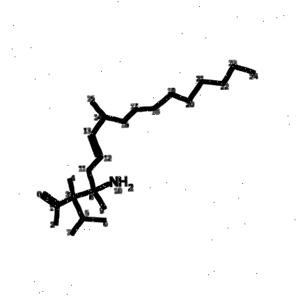 C=C(C)C(C)(C(C)C)C(C)(N)CC=CC(C)CCCCCCCCC